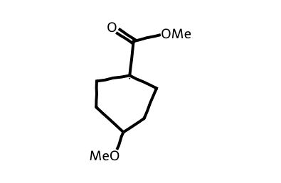 COC(=O)[C]1CCC(OC)CC1